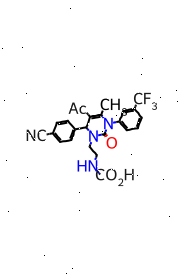 CC(=O)C1=C(C)N(c2cccc(C(F)(F)F)c2)C(=O)N(CCNC(=O)O)C1c1ccc(C#N)cc1